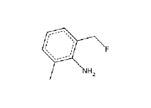 Cc1cccc(CF)c1N